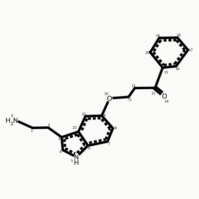 NCCc1c[nH]c2ccc(OCCC(=O)c3ccccc3)cc12